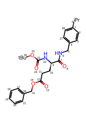 CC(C)c1ccc(CNC(=O)[C@@H](CCC(=O)OCc2ccccc2)NC(=O)OC(C)(C)C)cc1